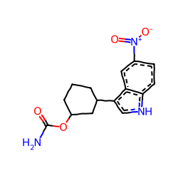 NC(=O)OC1CCCC(c2c[nH]c3ccc([N+](=O)[O-])cc23)C1